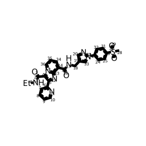 CCNC(=O)c1c(-c2ccccn2)nc2c(C(=O)NCc3cnn(-c4ccc(S(C)(=O)=O)cc4)c3)cccn12